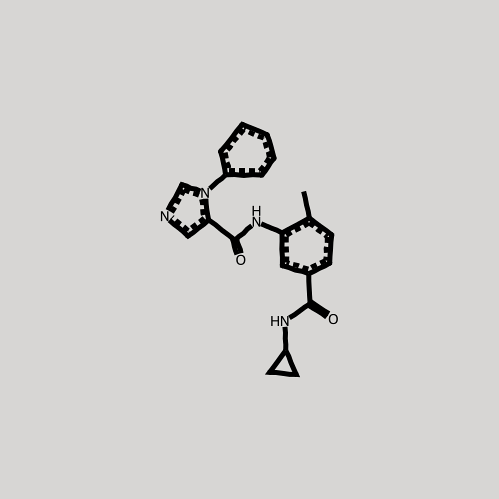 Cc1ccc(C(=O)NC2CC2)cc1NC(=O)c1cncn1-c1ccccc1